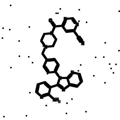 N#Cc1cc(C(=O)N2CCN(Cc3ccc(-n4c(-c5cccnc5N)nc5cccnc54)cc3)CC2)ncn1